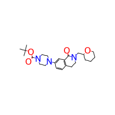 CC(C)(C)OC(=O)N1CCN(c2ccc3c(c2)C(=O)N(CC2CCCCO2)CC3)CC1